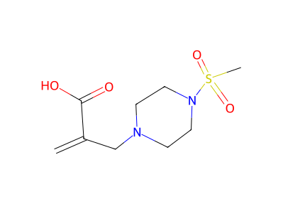 C=C(CN1CCN(S(C)(=O)=O)CC1)C(=O)O